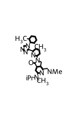 CNCc1nc(N(C)C(C)C)cc2c1CN(c1cccc(-c3nncn3-c3c(C)cccc3C)n1)C2=O